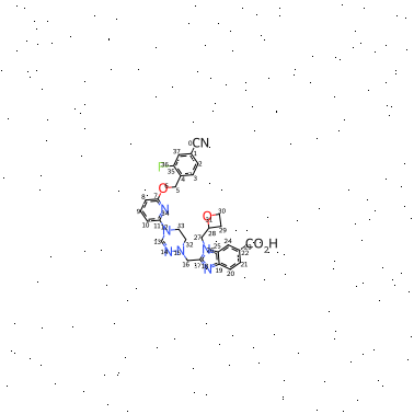 N#Cc1ccc(COc2cccc(N3C=NN(Cc4nc5ccc(C(=O)O)cc5n4CC4CCO4)CC3)n2)c(F)c1